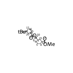 COC(=O)C1CCCC(C(C)(C)OC(=O)C2CCCC(C(C)(C)C)C2)C1